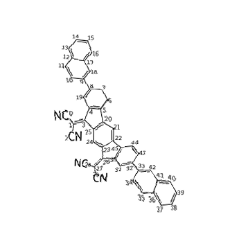 N#CC(C#N)=C1C2=C(CCC(c3ccc4ccccc4c3)=C2)c2cc3c(cc21)C(=C(C#N)C#N)c1cc(-c2ccc4ccccc4c2)ccc1-3